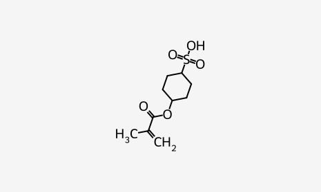 C=C(C)C(=O)OC1CCC(S(=O)(=O)O)CC1